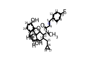 CN(C(=O)/C=C/c1ccc(F)cc1)C1C(CC2CC2)C[C@@]2(O)[C@H]3Cc4ccc(O)c5c4[C@@]2(CCN3)C1O5